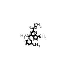 COC(=O)c1cc(C(C)N2CCC[C@H](C)C2)c2c(n1)C(C)CC2